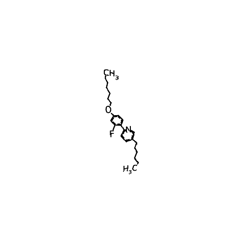 CCCCCCCOc1ccc(-c2ccc(CCCCCC)cn2)c(F)c1